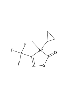 C[N+]1(C2CC2)C(=O)S[C]=C1C(F)(F)F